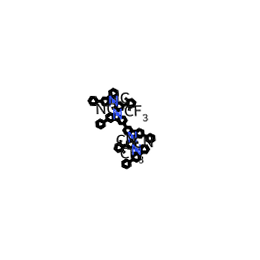 N#Cc1cccc(C(F)(F)F)c1-c1cc(-n2c3ccccc3c3cc(-c4ccccc4)ccc32)c(C#N)c(-n2c3ccc(-c4ccccc4)cc3c3cc(-c4ccc5c(c4)c4ccc(-c6ccccc6)cc4n5-c4cc(-c5c(C#N)cccc5C(F)(F)F)cc(-n5c6ccccc6c6ccc(-c7ccccc7)cc65)c4C#N)ccc32)c1